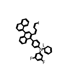 Fc1cc(F)cc(N(c2ccc(-c3c(/C=C\C=C/I)cc(-c4cccc5ccccc45)c4ccccc34)cc2)[C@]2(I)C=CC=CC2)c1